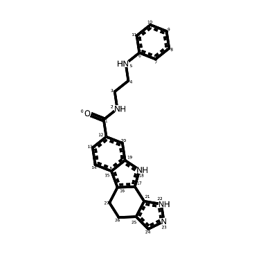 O=C(NCCNc1ccccc1)c1ccc2c3c([nH]c2c1)-c1[nH]ncc1CC3